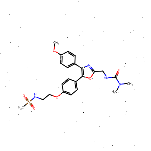 COc1ccc(-c2nc(CNC(=O)N(C)C)oc2-c2ccc(OCCNS(C)(=O)=O)cc2)cc1